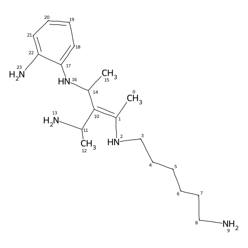 C/C(NCCCCCCN)=C(/C(C)N)C(C)Nc1ccccc1N